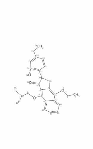 CCOc1c2c(c(OCC(F)F)c3ccccc13)C(=O)N(c1ccc(CC)cc1Cl)C2